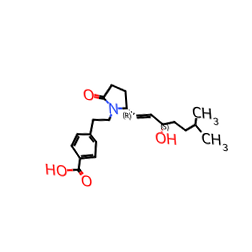 CC(C)CC[C@H](O)C=C[C@H]1CCC(=O)N1CCc1ccc(C(=O)O)cc1